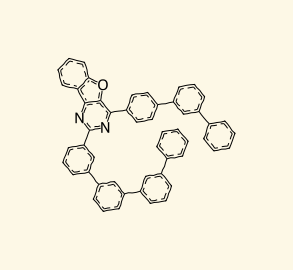 c1ccc(-c2cccc(-c3ccc(-c4nc(-c5cccc(-c6cccc(-c7cccc(-c8ccccc8)c7)c6)c5)nc5c4oc4ccccc45)cc3)c2)cc1